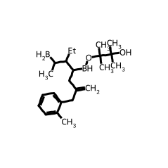 BC(C)C(CC)C(BOC(C)(C)C(C)(C)O)CC(=C)Cc1ccccc1C